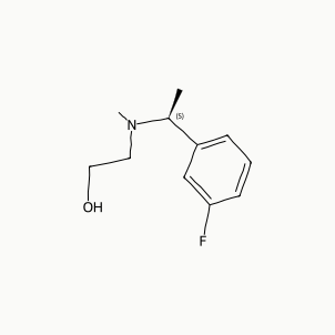 C[C@@H](c1cccc(F)c1)N(C)CCO